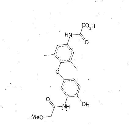 COCC(=O)Nc1cc(Oc2c(C)cc(NC(=O)C(=O)O)cc2C)ccc1O